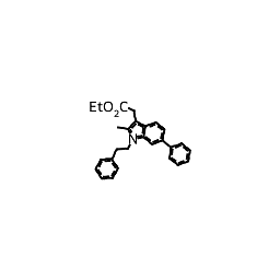 CCOC(=O)Cc1c(C)n(CCc2ccccc2)c2cc(-c3ccccc3)ccc12